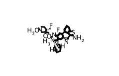 CN1CC[C@H](CF)[C@](C)(COc2nc(N3C[C@H]4CC[C@@H](C3)N4)c3cc(F)c(-c4cccc5sc(N)c(C#N)c45)c(F)c3n2)C1